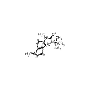 CN1C(=O)N(C(C)(C)C)Cc2c1cnc1c2ccn1P